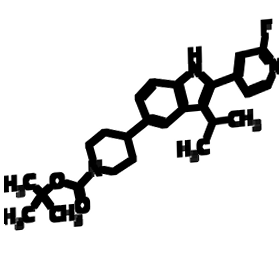 CC(C)c1c(-c2ccnc(F)c2)[nH]c2ccc(C3CCN(C(=O)OC(C)(C)C)CC3)cc12